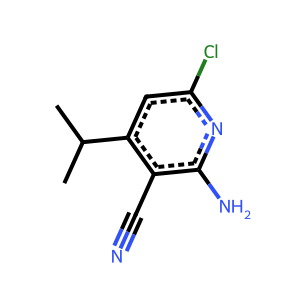 CC(C)c1cc(Cl)nc(N)c1C#N